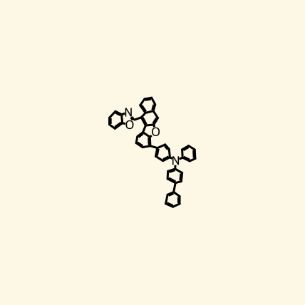 c1ccc(-c2ccc(N(c3ccccc3)c3ccc(-c4cccc5c4oc4cc6ccccc6c(-c6nc7ccccc7o6)c45)cc3)cc2)cc1